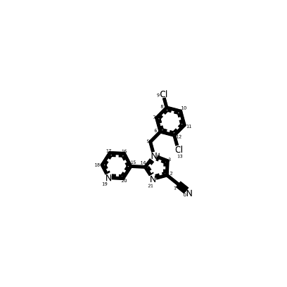 N#Cc1cn(Cc2cc(Cl)ccc2Cl)c(-c2cccnc2)n1